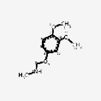 CNCOc1ccc(OC)c(OC)c1